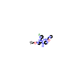 C[Si](C)(C)CCOCn1ccc2c(Nc3ccnc(NC(=O)CN4CCCC4)c3)nc(-c3cccc(F)n3)nc21